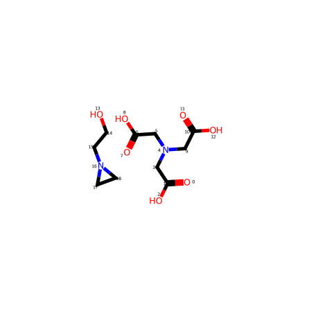 O=C(O)CN(CC(=O)O)CC(=O)O.OCCN1CC1